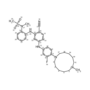 CN1CCCCCN(c2ccc(Nc3ncc(C#N)c(Nc4ccccc4N(C)S(C)(=O)=O)n3)cc2F)CCCCC1